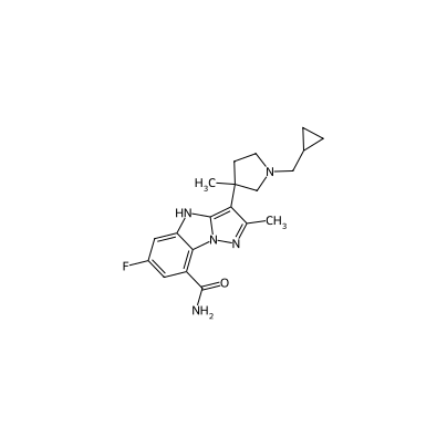 Cc1nn2c([nH]c3cc(F)cc(C(N)=O)c32)c1C1(C)CCN(CC2CC2)C1